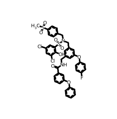 CS(=O)(=O)c1ccc(CN(Cc2cc(CNC(=O)c3cccc(Oc4ccccc4)c3)cc(Oc3ccc(F)cc3)c2)S(=O)(=O)c2cc(Cl)cc(Cl)c2O)cc1